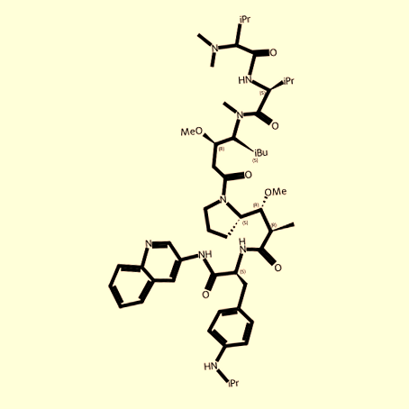 CC[C@H](C)C([C@@H](CC(=O)N1CCC[C@H]1[C@H](OC)[C@@H](C)C(=O)N[C@@H](Cc1ccc(NC(C)C)cc1)C(=O)Nc1cnc2ccccc2c1)OC)N(C)C(=O)[C@@H](NC(=O)C(C(C)C)N(C)C)C(C)C